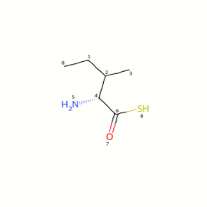 CCC(C)[C@@H](N)C(=O)S